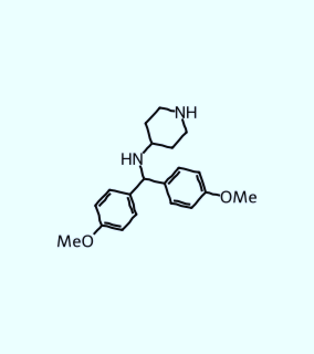 COc1ccc(C(NC2CCNCC2)c2ccc(OC)cc2)cc1